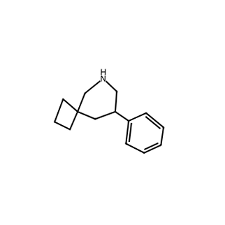 c1ccc(C2CNCC3(CCC3)C2)cc1